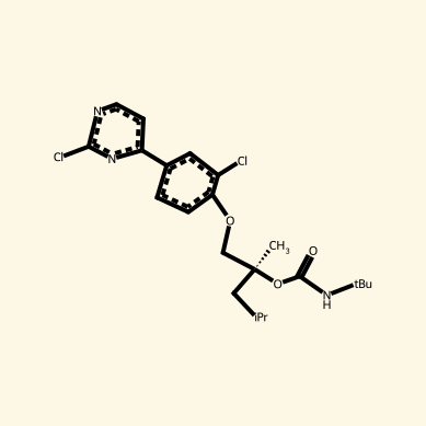 CC(C)C[C@@](C)(COc1ccc(-c2ccnc(Cl)n2)cc1Cl)OC(=O)NC(C)(C)C